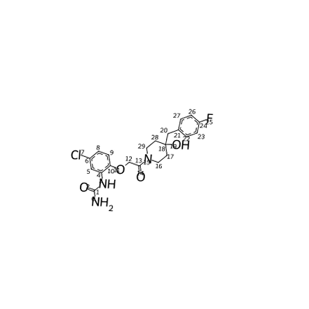 NC(=O)Nc1cc(Cl)ccc1OCC(=O)N1CCC(O)(Cc2ccc(F)cc2)CC1